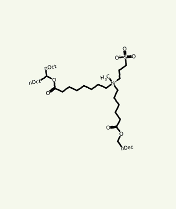 CCCCCCCCCCCOC(=O)CCCCC[N+](C)(CCCCCCCC(=O)OC(CCCCCCCC)CCCCCCCC)CCCS(=O)(=O)[O-]